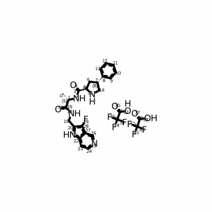 C[C@H](NC(=O)[C@H]1C[C@H](c2ccccc2)CN1)C(=O)NCc1[nH]c2ccncc2c1F.O=C(O)C(F)(F)F.O=C(O)C(F)(F)F